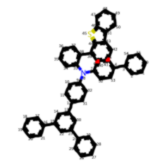 c1ccc(-c2ccc(N(c3ccc(-c4cc(-c5ccccc5)cc(-c5ccccc5)c4)cc3)c3ccccc3-c3cccc4c3sc3ccccc34)cc2)cc1